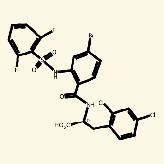 O=C(N[C@@H](Cc1ccc(Cl)cc1Cl)C(=O)O)c1ccc(Br)cc1NS(=O)(=O)c1c(F)cccc1F